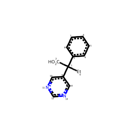 CCC(C(=O)O)(c1ccccc1)c1cncnc1